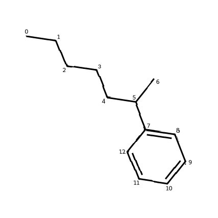 CCCCCC(C)c1c[c]ccc1